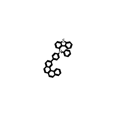 c1ccc(N(c2ccc(-c3ccc4ccc5ccc6ccccc6c5c4c3)cc2)c2cccc3sc4ccccc4c23)cc1